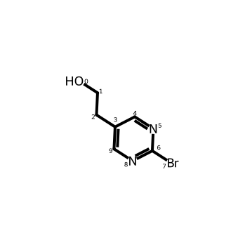 OCCc1cnc(Br)nc1